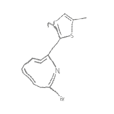 Cc1cnc(-c2cccc(Br)n2)s1